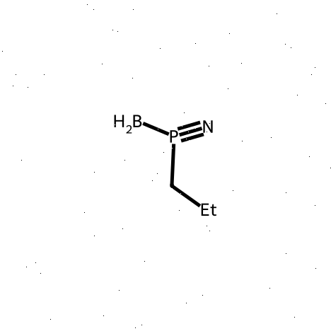 BP(#N)CCC